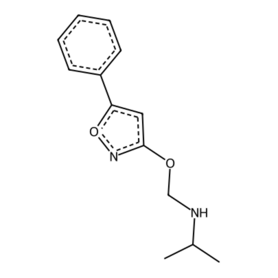 CC(C)NCOc1cc(-c2ccccc2)on1